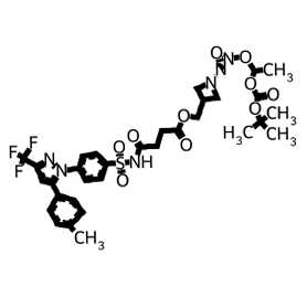 Cc1ccc(-c2cc(C(F)(F)F)nn2-c2ccc(S(=O)(=O)NC(=O)CCC(=O)OCC3CN(n4on4OC(C)OC(=O)OC(C)(C)C)C3)cc2)cc1